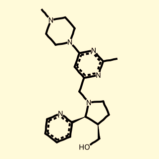 Cc1nc(CN2CC[C@@H](CO)[C@H]2c2ccccn2)cc(N2CCN(C)CC2)n1